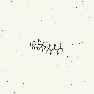 O=S(=O)([O-])C(F)C(F)(F)C(F)(F)C(F)(F)C(F)C(F)C(F)C(F)F.[Li+]